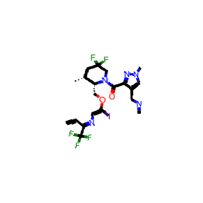 C=C/C(=N\C=C(/I)OC[C@@H]1[C@H](C)CC(F)(F)CN1C(=O)c1nn(C)cc1CN=C)C(F)(F)F